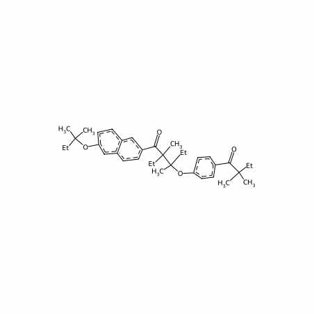 CCC(C)(C)Oc1ccc2cc(C(=O)C(C)(CC)C(C)(CC)Oc3ccc(C(=O)C(C)(C)CC)cc3)ccc2c1